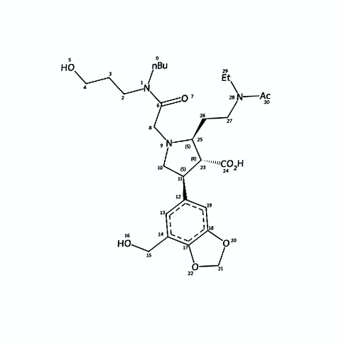 CCCCN(CCCO)C(=O)CN1C[C@H](c2cc(CO)c3c(c2)OCO3)[C@@H](C(=O)O)[C@@H]1CCN(CC)C(C)=O